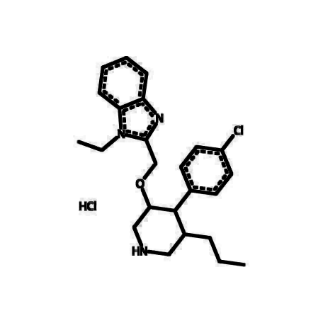 CCCC1CNCC(OCc2nc3ccccc3n2CC)C1c1ccc(Cl)cc1.Cl